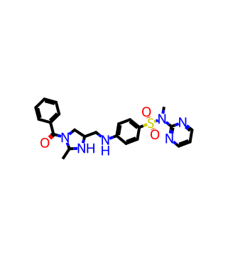 CC1NC(CNc2ccc(S(=O)(=O)N(C)c3ncccn3)cc2)CN1C(=O)c1ccccc1